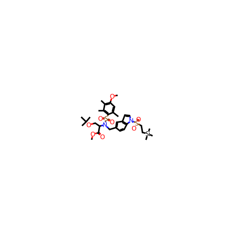 COC(=O)C(COC(C)(C)C)N(Cc1ccc2c(ccn2S(=O)(=O)CC[Si](C)(C)C)c1)S(=O)(=O)c1c(C)cc(OC)c(C)c1C